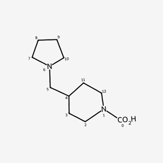 O=C(O)N1CCC(CN2CCCC2)CC1